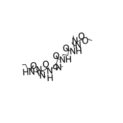 CCCC(=O)Nc1cn(C)c(C(=O)Nc2cc(C(=O)NCCC(=O)Nc3cn(C)c(C(=O)OCC)n3)n(C)c2)n1